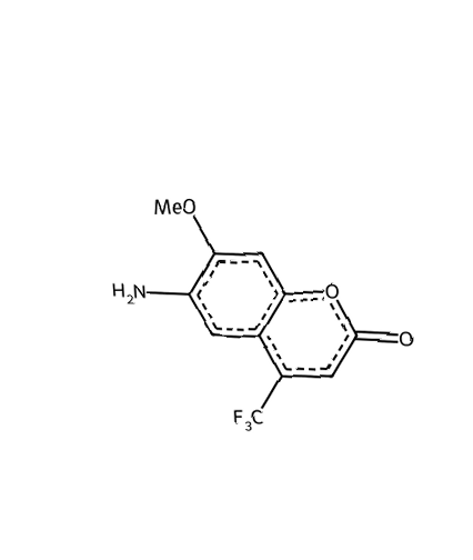 COc1cc2oc(=O)cc(C(F)(F)F)c2cc1N